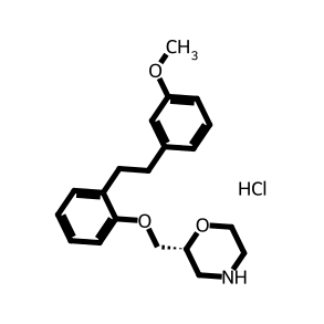 COc1cccc(CCc2ccccc2OC[C@H]2CNCCO2)c1.Cl